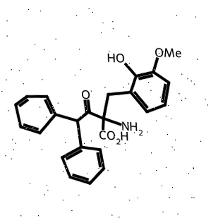 COc1cccc(CC(N)(C(=O)O)C(=O)C(c2ccccc2)c2ccccc2)c1O